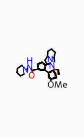 C=CCN1CCC2CCCC(C1)N2Cc1ccc(C(=O)NN2CCCCC2)cc1-c1cccc(OC)c1